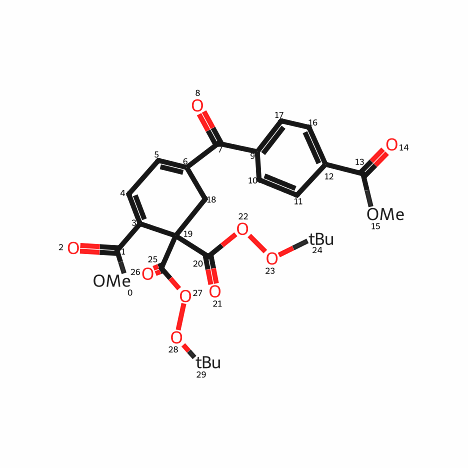 COC(=O)C1=CC=C(C(=O)c2ccc(C(=O)OC)cc2)CC1(C(=O)OOC(C)(C)C)C(=O)OOC(C)(C)C